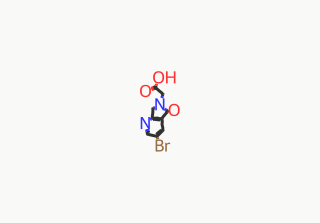 O=C(O)CN1Cc2ncc(Br)cc2C1=O